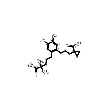 CC(C)(CCCc1cc(O)c(O)cc1CCCC1(C(=O)O)CC1)C(=O)O